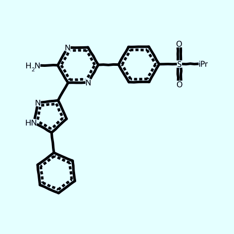 CC(C)S(=O)(=O)c1ccc(-c2cnc(N)c(-c3cc(-c4ccccc4)[nH]n3)n2)cc1